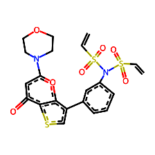 C=CS(=O)(=O)N(c1cccc(-c2csc3c(=O)cc(N4CCOCC4)oc23)c1)S(=O)(=O)C=C